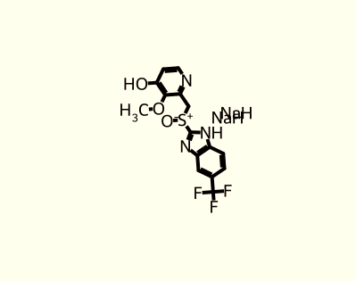 COc1c(O)ccnc1C[S+]([O-])c1nc2cc(C(F)(F)F)ccc2[nH]1.[NaH].[NaH]